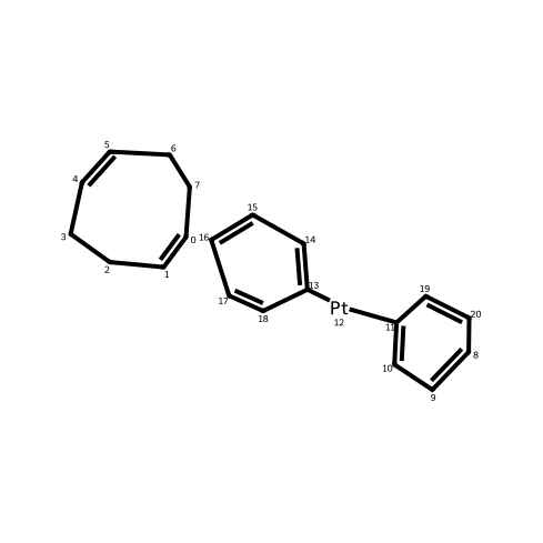 C1=CCCC=CCC1.c1cc[c]([Pt][c]2ccccc2)cc1